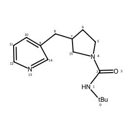 CC(C)(C)NC(=O)N1CCC(Cc2cccnc2)C1